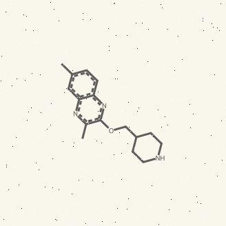 Cc1ccc2nc(OCC3CCNCC3)c(C)nc2c1